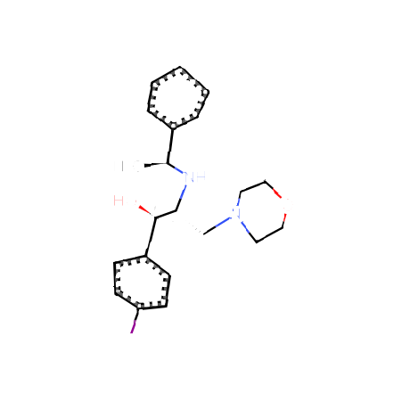 C[C@H](N[C@H](CN1CCOCC1)[C@H](O)c1ccc(I)cc1)c1ccccc1